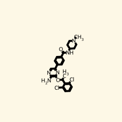 CC(Oc1nc(-c2ccc(C(=O)NC3CCN(C)CC3)cc2)cnc1N)c1c(Cl)cccc1Cl